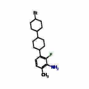 CCC1CCC(C2CCC(c3ccc(C)c(N)c3F)CC2)CC1